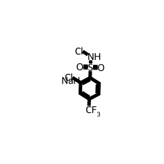 O=S(=O)(NCl)c1ccc(C(F)(F)F)cc1Cl.[NaH]